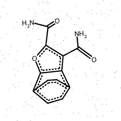 NC(=O)c1oc2c3ccc(cc3)c2c1C(N)=O